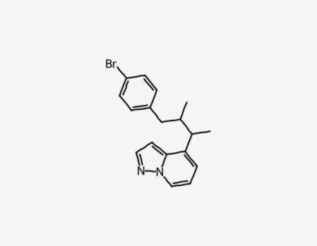 CC(Cc1ccc(Br)cc1)C(C)c1cccn2nccc12